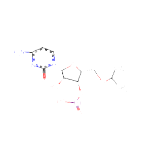 CC(C)OC[C@H]1O[C@@H](n2ccc(N)nc2=O)[C@H](O)[C@@H]1O[PH](=O)O